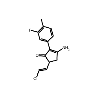 Cc1ccc(C2=C(N)CC(C=CCl)C2=O)cc1F